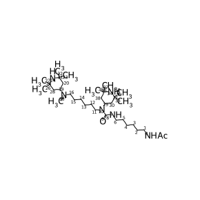 CC(=O)NCCCCCCNC(=O)N(CCCCCCN(C)C1CC(C)(C)NC(C)(C)C1)C1CC(C)(C)NC(C)(C)C1